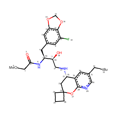 COCC(=O)N[C@@H](Cc1cc(F)c2c(c1)OCO2)[C@@H](O)CN[C@H]1CC2(CCC2)Oc2ncc(CC(C)(C)C)cc21